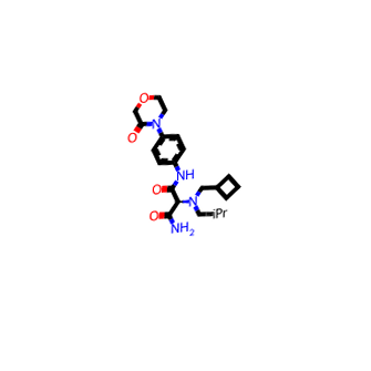 CC(C)CN(CC1CCC1)[C@@H](C(N)=O)C(=O)Nc1ccc(N2CCOCC2=O)cc1